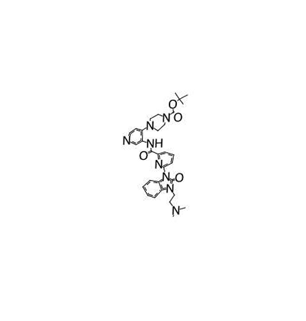 CN(C)CCn1c(=O)n(-c2cccc(C(=O)Nc3cnccc3N3CCN(C(=O)OC(C)(C)C)CC3)n2)c2ccccc21